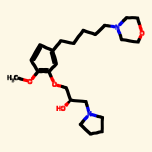 COc1ccc(CCCCCN2CCOCC2)cc1OC[C@H](O)CN1CCCC1